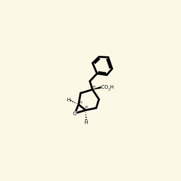 O=C(O)[C@@]1(Cc2ccccc2)CC[C@H]2O[C@H]2C1